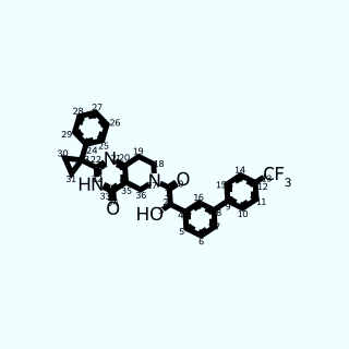 O=C(C(O)c1cccc(-c2ccc(C(F)(F)F)cc2)c1)N1CCc2nc(C3(c4ccccc4)CC3)[nH]c(=O)c2C1